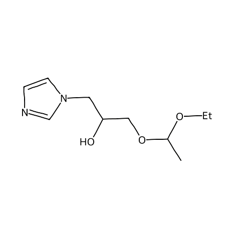 CCOC(C)OCC(O)Cn1ccnc1